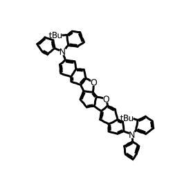 CC(C)(C)c1ccccc1N(c1ccccc1)c1ccc2cc3c(cc2c1)oc1c3ccc2c3cc4ccc(N(c5ccccc5)c5ccccc5C(C)(C)C)cc4cc3oc21